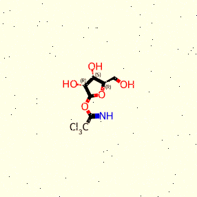 N=C(OC1O[C@H](CO)[C@@H](O)[C@H]1O)C(Cl)(Cl)Cl